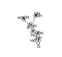 C[C@]12C=CC(=O)C=C1CC[C@H]1[C@@H]3C[C@@H](O)[C@](O)(C(=O)COC(=O)OCC(NC(=O)CCCCCON(O)O)C(=O)OCCCCON(O)O)[C@@]3(C)C[C@H](O)[C@@]12F